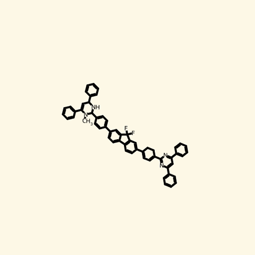 CN1C(c2ccccc2)=CC(c2ccccc2)NC1c1ccc(-c2ccc3c(c2)C(F)(F)c2cc(C4=CC=C(c5nc(-c6ccccc6)cc(-c6ccccc6)n5)CC4)ccc2-3)cc1